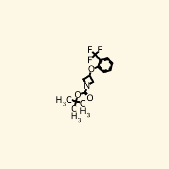 CC(C)(C)OC(=O)N1CC(Oc2ccccc2C(F)(F)F)C1